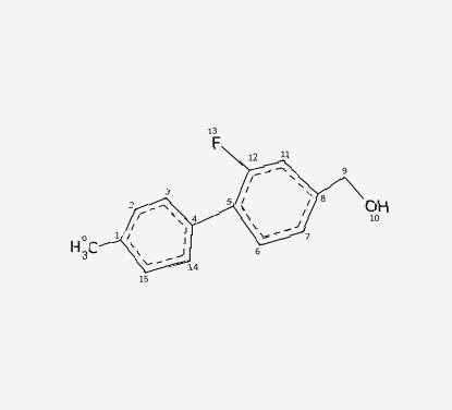 Cc1ccc(-c2ccc(CO)cc2F)cc1